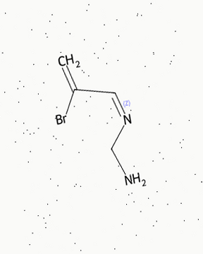 C=C(Br)/C=N\CN